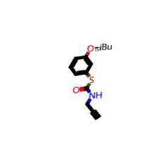 C#CCNC(=O)Sc1cccc(O[C@@H](C)CC)c1